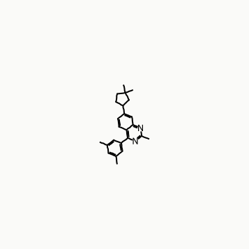 Cc1cc(C)cc(-c2nc(C)nc3cc(C4CCC(C)(C)C4)ccc23)c1